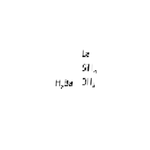 B.[BaH2].[La].[SiH4]